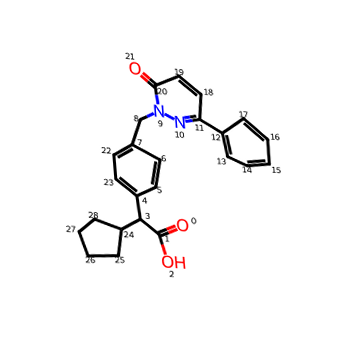 O=C(O)C(c1ccc(Cn2nc(-c3ccccc3)ccc2=O)cc1)C1CCCC1